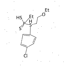 CCOCC[SH](c1ccc(Cl)cc1)P(=S)(S)CC